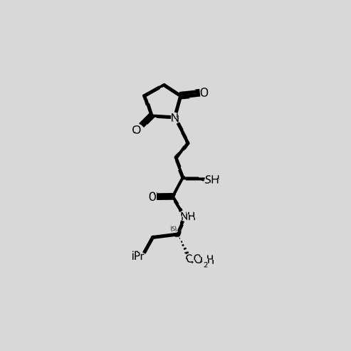 CC(C)C[C@H](NC(=O)C(S)CCN1C(=O)CCC1=O)C(=O)O